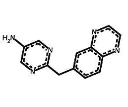 Nc1cnc(Cc2ccc3nccnc3c2)nc1